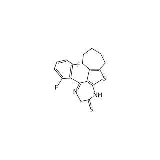 Fc1cccc(F)c1C1=NCC(=S)Nc2sc3c(c21)CCCCC3